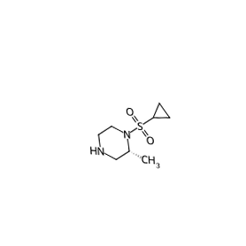 C[C@@H]1CNCCN1S(=O)(=O)C1CC1